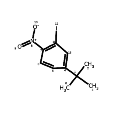 CC(C)(C)c1ccc([N+](=O)[O-])c(I)c1